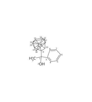 CC(O)(c1ccccc1)[C]12[CH]3[CH]4[CH]5[CH]1[Fe]45321678[CH]2[CH]1[CH]6[CH]7[CH]28